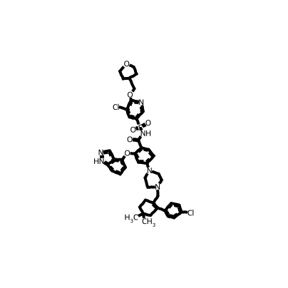 CC1(C)CCC(CN2CCN(c3ccc(C(=O)NS(=O)(=O)c4cnc(OCC5CCOCC5)c(Cl)c4)c(Oc4cccc5[nH]ncc45)c3)CC2)=C(c2ccc(Cl)cc2)C1